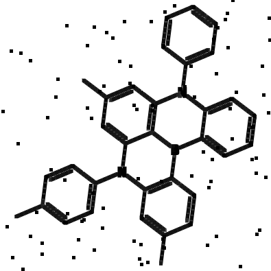 Cc1ccc(N2c3cc(C)ccc3B3c4ccccc4N(c4ccccc4)c4cc(C)cc2c43)cc1